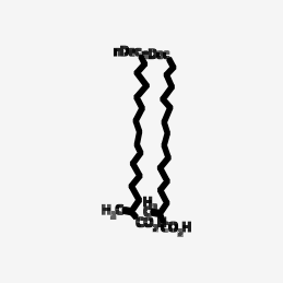 C=C(CCCCCCCCCCCCCCCCCCCCCCC)C(=O)O.C=C(CCCCCCCCCCCCCCCCCCCCCCC)C(=O)O